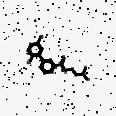 CCc1ccc(Cl)cc1-c1cccc(C(=O)NCCN(C)C)c1